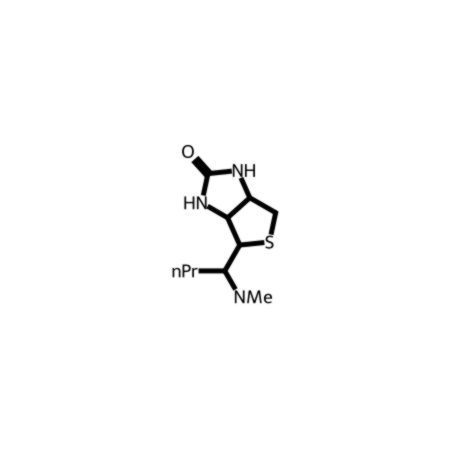 CCCC(NC)C1SCC2NC(=O)NC21